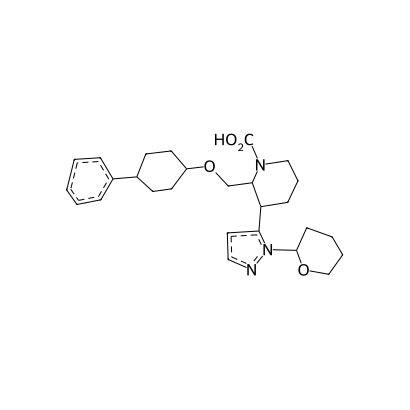 O=C(O)N1CCCC(c2ccnn2C2CCCCO2)C1COC1CCC(c2ccccc2)CC1